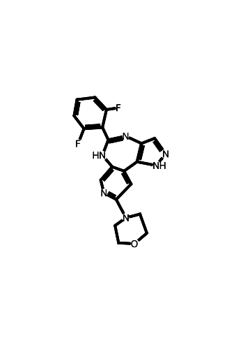 Fc1cccc(F)c1C1=Nc2cn[nH]c2-c2cc(N3CCOCC3)ncc2N1